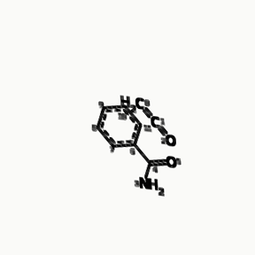 C=C=O.NC(=O)c1ccccc1